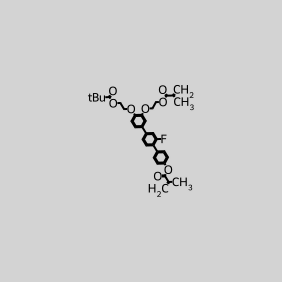 C=C(C)C(=O)OCCOc1cc(-c2ccc(-c3ccc(OC(=O)C(=C)C)cc3)c(F)c2)ccc1OCCOC(=O)C(C)(C)C